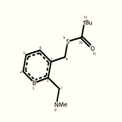 CNCc1bcccc1CSC(=O)C(C)(C)C